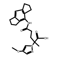 COc1cnn(C(C)(CCC(=O)Nc2c3c(cc4c2CCC4)CCC3)C(=O)O)c1